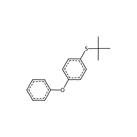 CC(C)(C)Sc1ccc(Oc2ccccc2)cc1